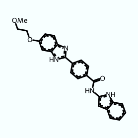 COCCOc1ccc2nc(-c3ccc(C(=O)Nc4cc5ccccc5[nH]4)cc3)[nH]c2c1